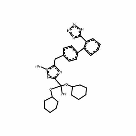 CCCn1nc(C(CCC)(OC2CCCCC2)OC2CCCCC2)nc1Cc1ccc(-c2ccccc2-c2nnn[nH]2)cc1